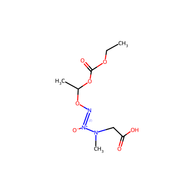 CCOC(=O)OC(C)O/N=[N+](\[O-])N(C)CC(=O)O